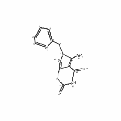 Nc1c2c(nn1Cc1ccccn1)CC(=O)NC2=O